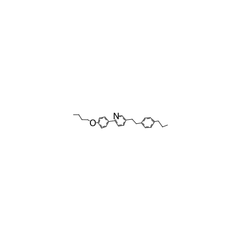 CCCCOc1ccc(-c2ccc(CCc3ccc(CCC)cc3)cn2)cc1